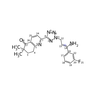 CC1(C)CCc2nc(-c3nnn(C/C=C(\N)c4cccc(F)c4)n3)ccc2C1=O